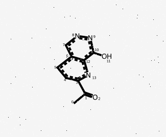 CC(=O)c1ccc2cnnc(O)c2n1